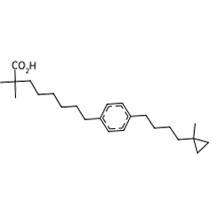 CC1(CCCCc2ccc(CCCCCCC(C)(C)C(=O)O)cc2)CC1